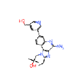 CCc1nc2c(N)nc3cc(-c4cncc(CO)c4)ccc3c2n1CC(C)(C)O